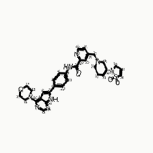 O=C(Nc1ccc(-c2cc3c(N4CCOCC4)ncnc3[nH]2)cc1)c1cc(CN2CCC[C@@H](N3CC=CS3(=O)=O)C2)ccn1